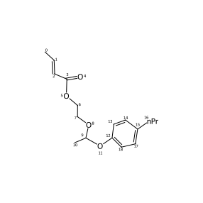 CC=CC(=O)OCCOC(C)Oc1ccc(CCC)cc1